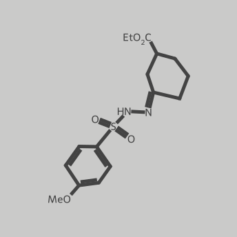 CCOC(=O)C1CCC/C(=N/NS(=O)(=O)c2ccc(OC)cc2)C1